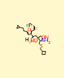 C=C(CC(O)(CO)C(N)CSCC1CCC1)c1cc(CCC2CC2)oc1/C=C\CCC